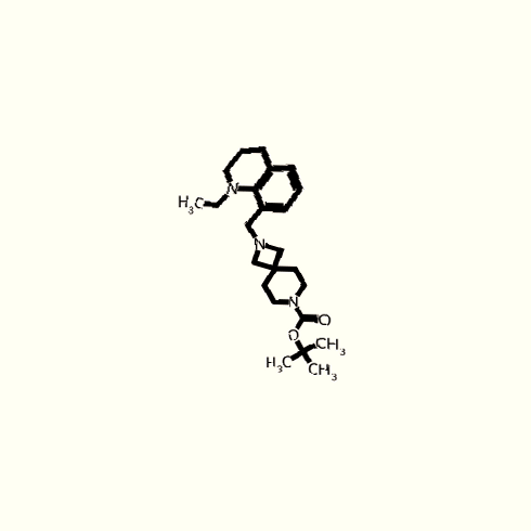 CCN1CCCc2cccc(CN3CC4(CCN(C(=O)OC(C)(C)C)CC4)C3)c21